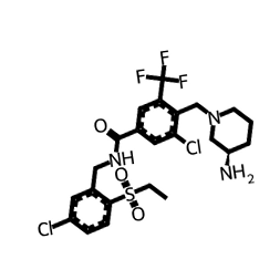 CCS(=O)(=O)c1ccc(Cl)cc1CNC(=O)c1cc(Cl)c(CN2CCC[C@@H](N)C2)c(C(F)(F)F)c1